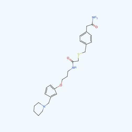 NC(=O)Cc1ccc(CSCC(=O)NCCCOc2cccc(CN3CCCCC3)c2)cc1